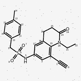 C#Cc1cc(NS(=O)(=O)Cc2ccc(C)cc2)cc2c1N(CC)C(=O)CC2